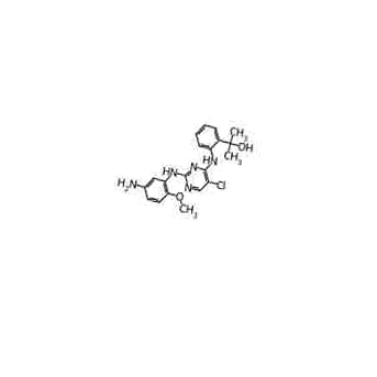 COc1ccc(N)cc1Nc1ncc(Cl)c(Nc2ccccc2C(C)(C)O)n1